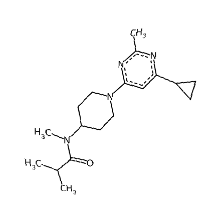 Cc1nc(C2CC2)cc(N2CCC(N(C)C(=O)C(C)C)CC2)n1